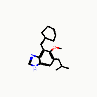 COc1c(CC(C)C)cc2[nH][c]nc2c1CC1CCCCC1